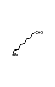 CCCCC=CCCCCCC=O